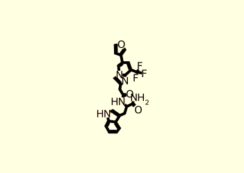 NC(=O)C(Cc1c[nH]c2ccccc12)NC(=O)Cc1cn2cc(-c3ccoc3)cc(C(F)(F)F)c2n1